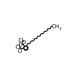 CCCCCCCCCCCCCCCCc1cccc(C(=O)Cl)c1C(=O)OCl